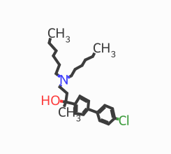 CCCCCCN(CCCCCC)CCC(C)(O)c1ccc(-c2ccc(Cl)cc2)cc1